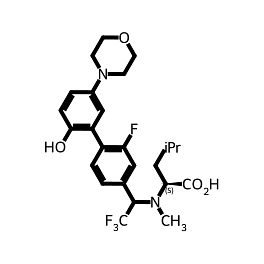 CC(C)C[C@@H](C(=O)O)N(C)C(c1ccc(-c2cc(N3CCOCC3)ccc2O)c(F)c1)C(F)(F)F